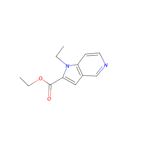 CCOC(=O)c1cc2cnccc2n1CC